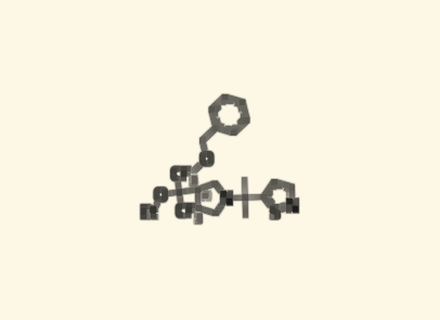 CCOC(C(F)(F)F)(C(F)(F)F)[C@]1(COCc2ccccc2)CCN(C(C)(C)c2ccns2)C1